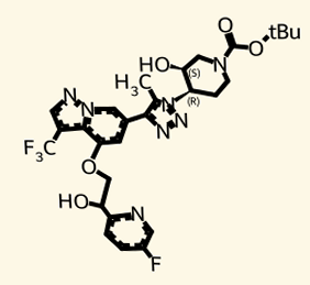 Cc1c(-c2cc(OCC(O)c3ccc(F)cn3)c3c(C(F)(F)F)cnn3c2)nnn1[C@@H]1CCN(C(=O)OC(C)(C)C)C[C@@H]1O